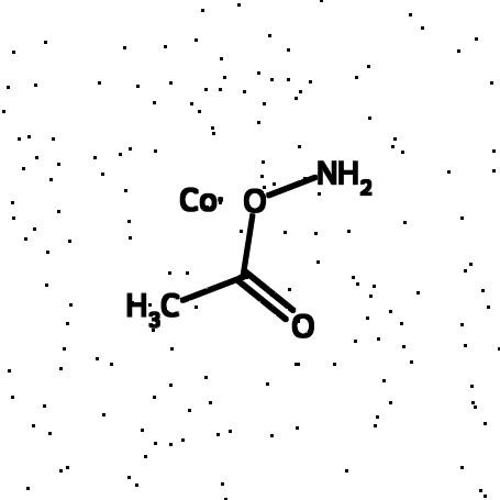 CC(=O)ON.[Co]